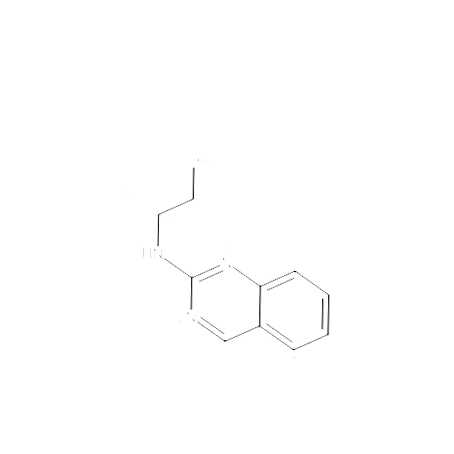 C[C@H](CO)Nc1ncc2ccccc2n1